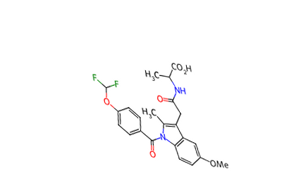 COc1ccc2c(c1)c(CC(=O)NC(C)C(=O)O)c(C)n2C(=O)c1ccc(OC(F)F)cc1